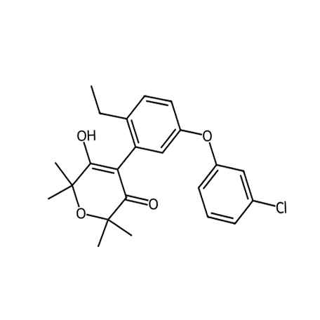 CCc1ccc(Oc2cccc(Cl)c2)cc1C1=C(O)C(C)(C)OC(C)(C)C1=O